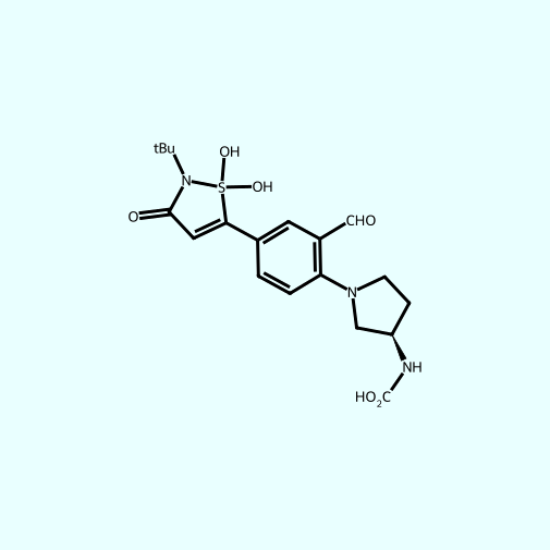 CC(C)(C)N1C(=O)C=C(c2ccc(N3CC[C@@H](NC(=O)O)C3)c(C=O)c2)S1(O)O